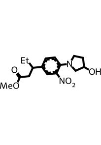 CCC(CC(=O)OC)c1ccc(N2CCC(O)C2)c([N+](=O)[O-])c1